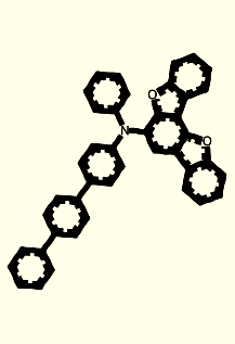 c1ccc(-c2ccc(-c3ccc(N(c4ccccc4)c4cc5c6ccccc6oc5c5c4oc4ccccc45)cc3)cc2)cc1